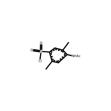 CC(=O)Nc1cc(C)c(S(=O)(=O)Cl)cc1C